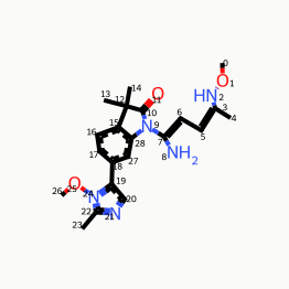 CON/C(C)=C\C=C(/N)N1C(=O)C(C)(C)c2ccc(-c3cnc(C)n3OC)cc21